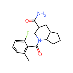 Cc1cccc(F)c1C(=O)N1CC(C(N)=O)CC2CCCC21